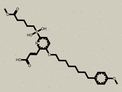 COC(=O)CCCCS(O)(O)c1ccc(OCCCCCCCCc2ccc(OC)cc2)c(C=CC(=O)O)n1